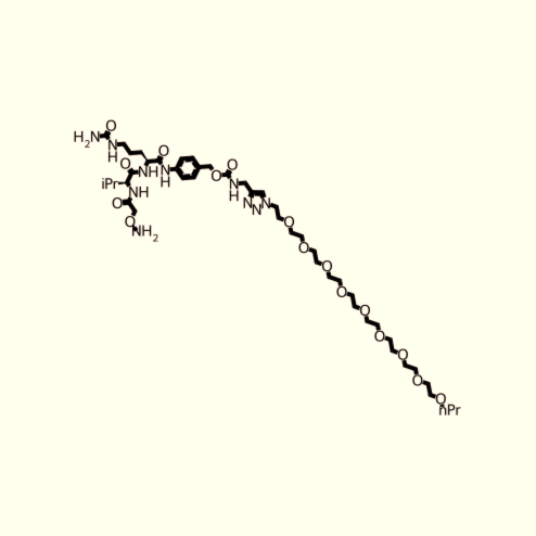 CCCOCCOCCOCCOCCOCCOCCOCCOCCOCCn1cc(CNC(=O)OCc2ccc(NC(=O)[C@H](CCCNC(N)=O)NC(=O)[C@@H](NC(=O)CON)C(C)C)cc2)nn1